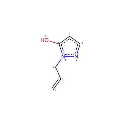 C=CCn1nccc1O